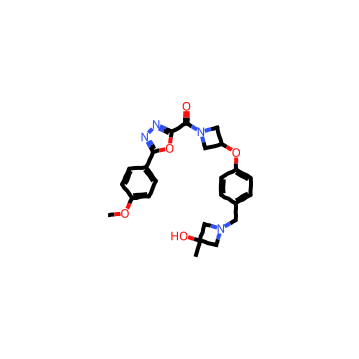 COc1ccc(-c2nnc(C(=O)N3CC(Oc4ccc(CN5CC(C)(O)C5)cc4)C3)o2)cc1